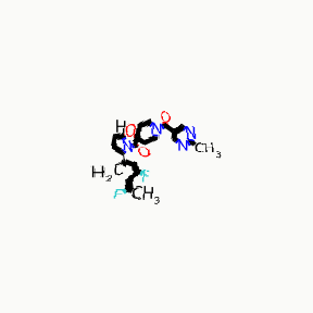 C=C(/C=C(F)\C=C(/C)F)[C@@H]1CC[C@H]2OC3(CCN(C(=O)c4cnc(C)nc4)CC3)C(=O)N21